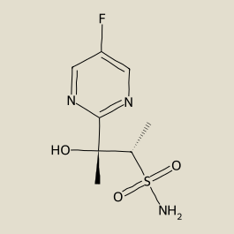 C[C@@H]([C@](C)(O)c1ncc(F)cn1)S(N)(=O)=O